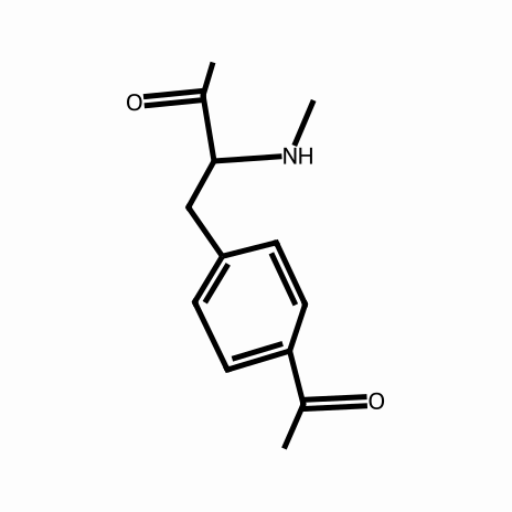 CNC(Cc1ccc(C(C)=O)cc1)C(C)=O